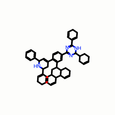 C1=CC2CC(c3cc(C4=NC(C5CC=CCC5)NC(C5=CCCC=C5)=N4)ccc3C3=CC(c4ccccc4)NC(C4=CCCC=C4)C3)C3CCC=CC3C2C=C1